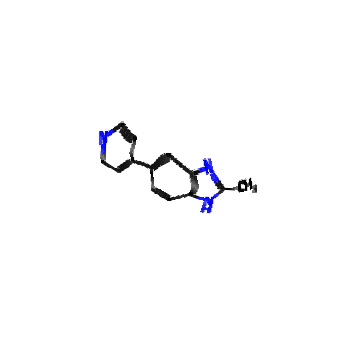 Cc1nc2cc(-c3ccncc3)ccc2[nH]1